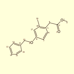 COC(=O)Cc1ccc(OCc2ccccc2)cc1C